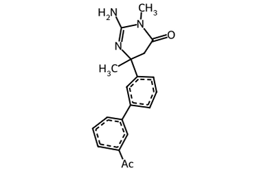 CC(=O)c1cccc(-c2cccc(C3(C)CC(=O)N(C)C(N)=N3)c2)c1